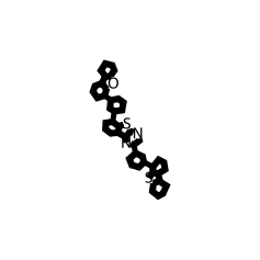 c1cc(-c2cnc3sc4c(-c5cccc(-c6cccc7c6oc6ccccc67)c5)cccc4c3n2)cc(-c2cccc3c2sc2ccccc23)c1